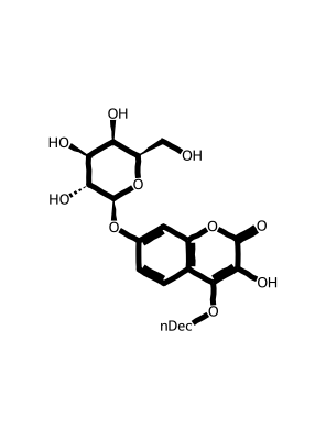 CCCCCCCCCCOc1c(O)c(=O)oc2cc(O[C@@H]3O[C@H](CO)[C@H](O)[C@H](O)[C@H]3O)ccc12